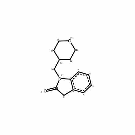 O=C1Cc2ccccc2N1CC1CCOCC1